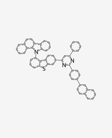 c1ccc(-c2cc(-c3ccc4c(c3)sc3cccc(-n5c6ccccc6c6ccc7ccccc7c65)c34)nc(-c3ccc(-c4ccc5ccccc5c4)cc3)n2)cc1